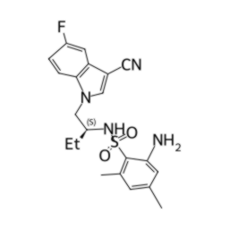 CC[C@@H](Cn1cc(C#N)c2cc(F)ccc21)NS(=O)(=O)c1c(C)cc(C)cc1N